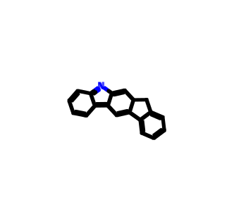 C1=C2N=c3ccccc3=C2C=C2c3ccccc3CC12